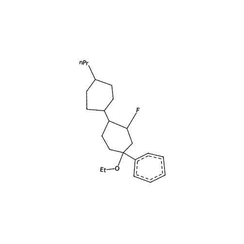 CCCC1CCC(C2CCC(OCC)(c3ccccc3)CC2F)CC1